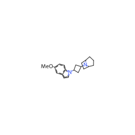 COc1ccc2c(ccn2C2CC(N3C4CCCC3CC4)C2)c1